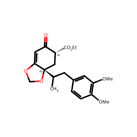 CCOC(=O)[C@@H]1C[C@]2(C(C)Cc3ccc(OC)c(OC)c3)OCOC2=CC1=O